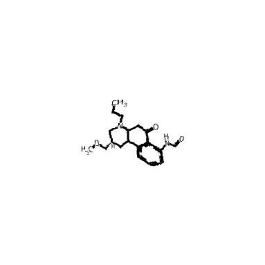 CCCN1C[C@H](COC)CC2c3cccc(NC=O)c3C(=O)CC21